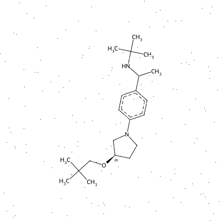 CC(NC(C)(C)C)c1ccc(N2CC[C@@H](OCC(C)(C)C)C2)cc1